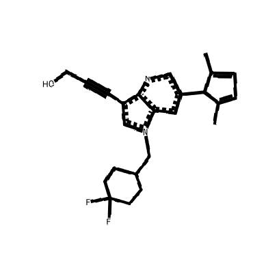 CC1=CC=C(C)C1c1cnc2c(C#CCO)cn(CC3CCC(F)(F)CC3)c2c1